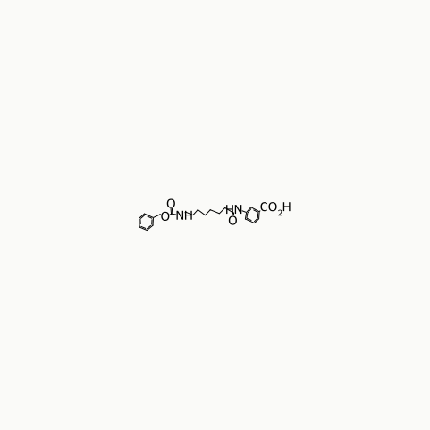 O=C(CCCCCCCNC(=O)OCc1ccccc1)Nc1cccc(C(=O)O)c1